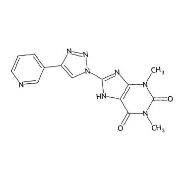 Cn1c(=O)c2[nH]c(-n3cc(-c4cccnc4)nn3)nc2n(C)c1=O